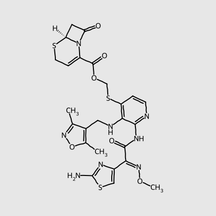 CON=C(C(=O)Nc1nccc(SCOC(=O)C2=CCS[C@H]3CC(=O)N23)c1NCc1c(C)noc1C)c1csc(N)n1